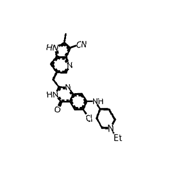 CCN1CCC(Nc2cc3nc(Cc4cnc5c(C#N)c(C)[nH]c5c4)[nH]c(=O)c3cc2Cl)CC1